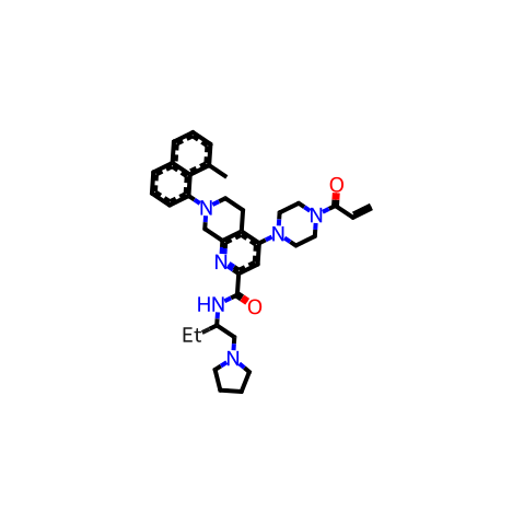 C=CC(=O)N1CCN(c2cc(C(=O)NC(CC)CN3CCCC3)nc3c2CCN(c2cccc4cccc(C)c24)C3)CC1